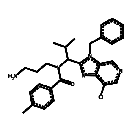 Cc1ccc(C(=O)N(CCCN)C(c2nc3c(Cl)cncc3n2Cc2ccccc2)C(C)C)cc1